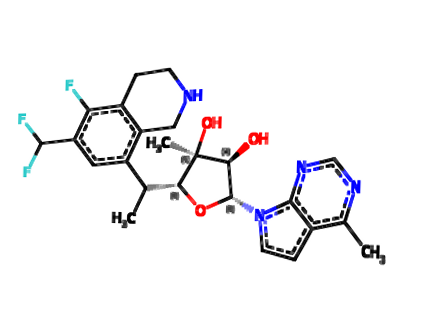 Cc1ncnc2c1ccn2[C@@H]1O[C@H](C(C)c2cc(C(F)F)c(F)c3c2CNCC3)[C@@](C)(O)[C@H]1O